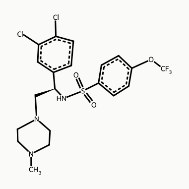 CN1CCN(C[C@H](NS(=O)(=O)c2ccc(OC(F)(F)F)cc2)c2ccc(Cl)c(Cl)c2)CC1